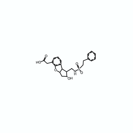 O=C(O)Cc1cccc2c1OC1CC(O)C(CNS(=O)(=O)CCc3ccccc3)C21